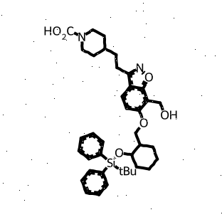 CC(C)(C)[Si](OC1CCCCC1COc1ccc2c(CCC3CCN(C(=O)O)CC3)noc2c1CO)(c1ccccc1)c1ccccc1